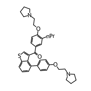 CCCc1cc(C(=O)c2csc3cccc(-c4ccc(OCCN5CCCC5)cc4)c23)ccc1OCCN1CCCC1